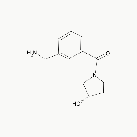 NCc1cccc(C(=O)N2CC[C@H](O)C2)c1